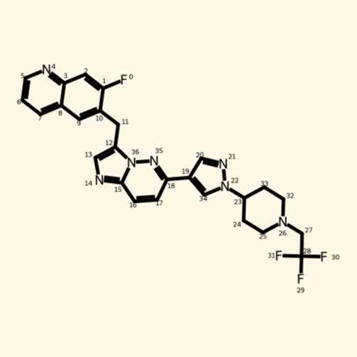 Fc1cc2ncccc2cc1Cc1cnc2ccc(-c3cnn(C4CCN(CC(F)(F)F)CC4)c3)nn12